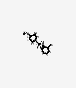 Cc1cccc2oc(-c3ccc(C(C)C)cc3)nc12